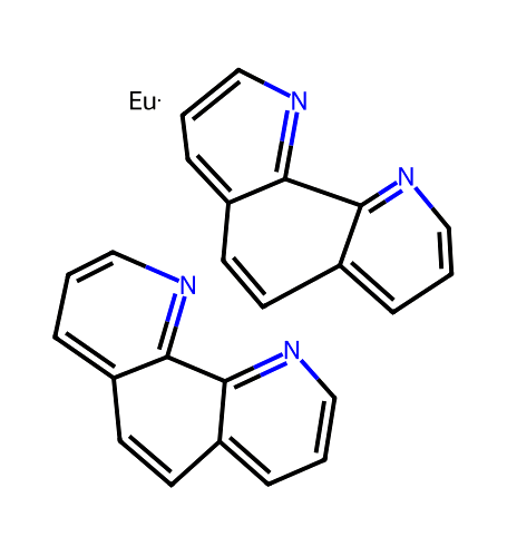 [Eu].c1cnc2c(c1)ccc1cccnc12.c1cnc2c(c1)ccc1cccnc12